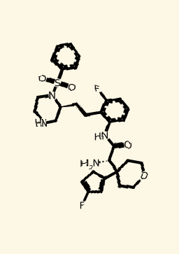 N[C@H](C(=O)Nc1cccc(F)c1CC[C@H]1CNCCN1S(=O)(=O)c1ccccc1)C1(C2=CC(F)=CC2)CCOCC1